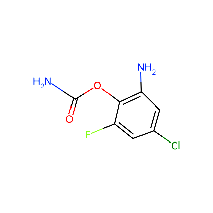 NC(=O)Oc1c(N)cc(Cl)cc1F